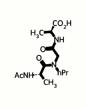 CCCN(CC(=O)N[C@@H](C)C(=O)O)C(=O)[C@H](C)NC(C)=O